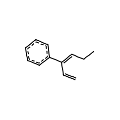 C=CC(=CCC)c1ccccc1